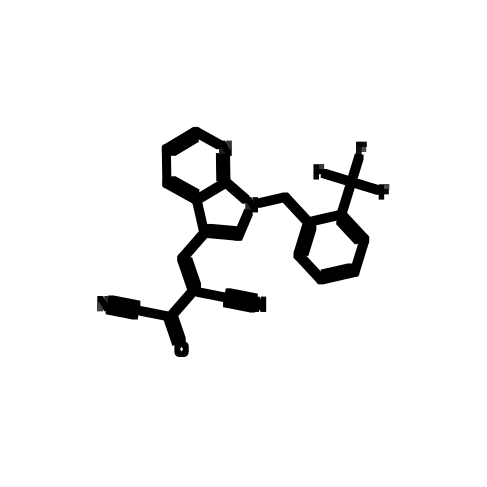 N#CC(=O)/C(C#N)=C/c1cn(Cc2ccccc2C(F)(F)F)c2ncccc12